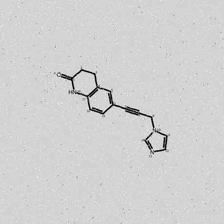 O=C1CCc2cc(C#CCn3ccnc3)ccc2N1